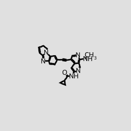 CNc1ncc(C#Cc2ccc3nc4n(c3c2)CCC=C4)c2cc(NC(=O)C3CC3)ncc12